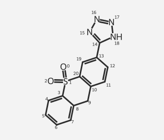 O=S1(=O)c2ccccc2Cc2ccc(-c3nnn[nH]3)cc21